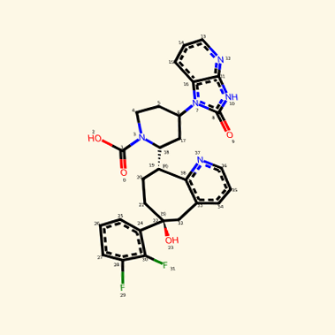 O=C(O)N1CCC(n2c(=O)[nH]c3ncccc32)CC1[C@H]1CC[C@@](O)(c2cccc(F)c2F)Cc2cccnc21